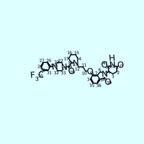 O=C1CCC(N2Cc3c(OCCCN4CCCCC4C(=O)N4CCN(c5cccc(C(F)(F)F)c5)CC4)cccc3C2=O)C(=O)N1